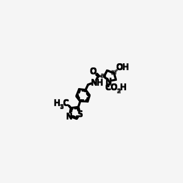 Cc1ncsc1-c1ccc(CNC(=O)[C@@H]2C[C@H](O)CN2C(=O)O)cc1